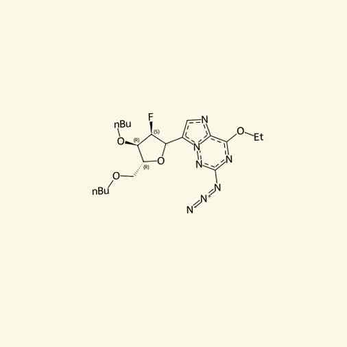 CCCCOC[C@H]1OC(c2cnc3c(OCC)nc(N=[N+]=[N-])nn23)[C@H](F)[C@@H]1OCCCC